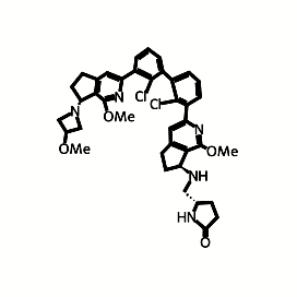 COc1nc(-c2cccc(-c3cccc(-c4cc5c(c(OC)n4)[C@H](N4CC(OC)C4)CC5)c3Cl)c2Cl)cc2c1[C@@H](NC[C@@H]1CCC(=O)N1)CC2